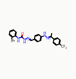 C/C(=N\Nc1ccc(/C=N/NC(=O)Nc2ccccc2C(C)C)cc1)c1ccc(C(F)(F)F)cc1